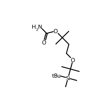 CC(C)(CCOC(C)(C)[Si](C)(C)C(C)(C)C)OC(N)=O